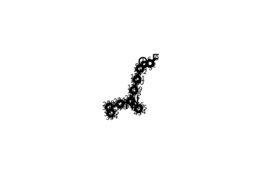 Fc1ccc2c(c1)oc1ccc(-c3ccc(-c4ccc(-c5cc(-c6ccc(-c7cccc8ccccc78)cc6)nc(-c6ccccc6)n5)cc4)cc3)cc12